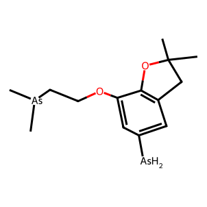 C[As](C)CCOc1cc([AsH2])cc2c1OC(C)(C)C2